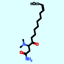 CCCCCCCC/C=C\CCCCCCCC(=O)C(CC(N)=O)N(C)C